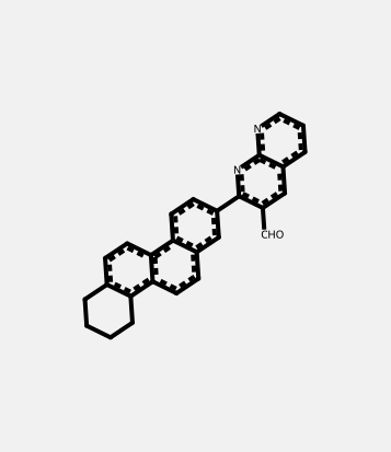 O=Cc1cc2cccnc2nc1-c1ccc2c(ccc3c4c(ccc32)CCCC4)c1